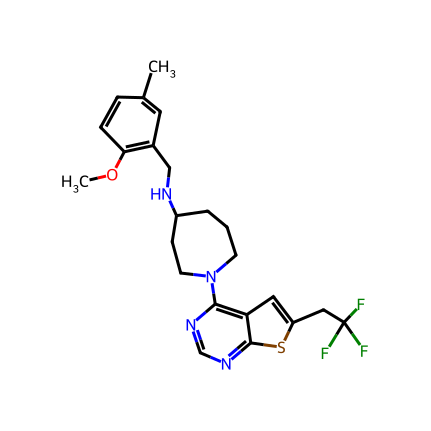 COc1ccc(C)cc1CNC1CCCN(c2ncnc3sc(CC(F)(F)F)cc23)CC1